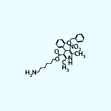 CC1=C(C(=O)OCCCCCCN)C(c2ccccc2OCc2ccccc2)C([N+](=O)[O-])=C(C)N1